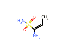 CC=C(N)S(N)(=O)=O